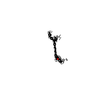 Nc1ncnc2c1c(-c1ccc(Oc3ccc(C(F)(F)F)cc3)cc1)nn2C1CCN(C2CN(C3CN(c4ccc5c(c4)C(=O)N(C4CCC(=O)NC4=O)C5=O)C3)C2)CC1